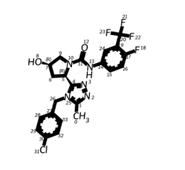 Cc1nnc([C@H]2C[C@@H](O)CN2C(=O)Nc2ccc(F)c(C(F)(F)F)c2)n1Cc1ccc(Cl)cc1